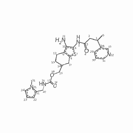 CC(CC(=O)Nc1sc2c(c1N)CCC(COC(=O)NCc1cccn1C)C2)c1cccnc1